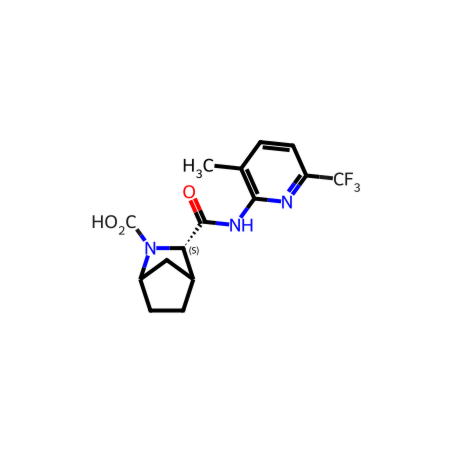 Cc1ccc(C(F)(F)F)nc1NC(=O)[C@@H]1C2CCC(C2)N1C(=O)O